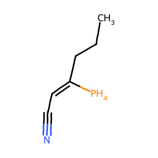 CCCC([PH4])=CC#N